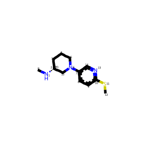 CN[C@@H]1CCCN(c2ccc(SC)nc2)C1